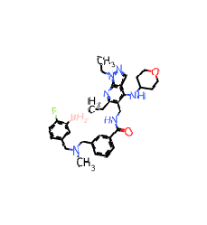 Bc1cc(CN(C)Cc2cccc(C(=O)NCc3c(CC)nc4c(cnn4CC)c3NC3CCOCC3)c2)ccc1F